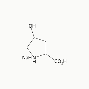 O=C(O)C1CC(O)CN1.[NaH]